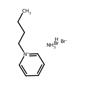 Br.CCCC[n+]1ccccc1.N.[Br-]